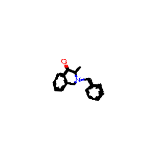 CC1C(=O)c2ccccc2CN1Cc1ccccc1